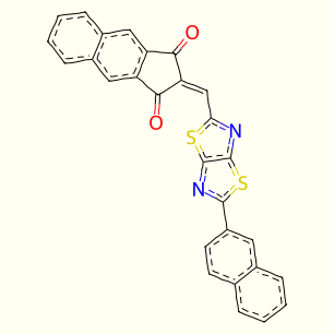 O=C1C(=Cc2nc3sc(-c4ccc5ccccc5c4)nc3s2)C(=O)c2cc3ccccc3cc21